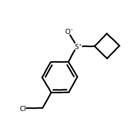 [O-][S+](c1ccc(CCl)cc1)C1CCC1